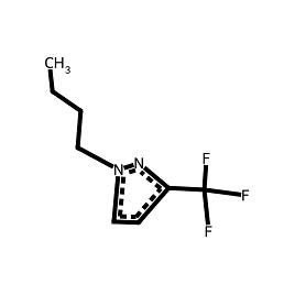 CCCCn1ccc(C(F)(F)F)n1